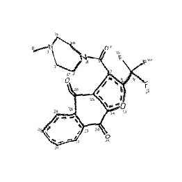 CN1CCN(C(=O)c2c(C(F)(F)F)oc3c2C(=O)c2ccccc2C3=O)CC1